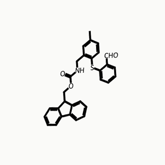 Cc1ccc(Sc2ccccc2C=O)c(CNC(=O)OCC2c3ccccc3-c3ccccc32)c1